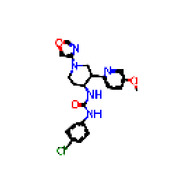 COc1ccc(C2CN(c3cocn3)CCC2NC(=O)Nc2ccc(Cl)cc2)nc1